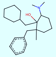 CN(C)C1CCCC(C)(Cc2ccccc2)C1(O)CC1CCCCC1